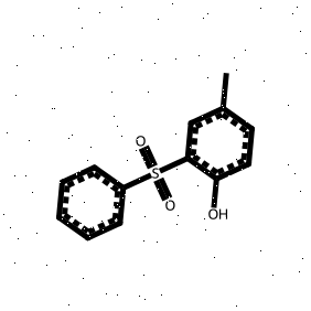 Cc1ccc(O)c(S(=O)(=O)c2ccccc2)c1